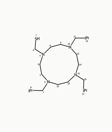 CC(C)CN1CCN(CS)CCN(CC(C)C)CCN(CC(C)C)CC1